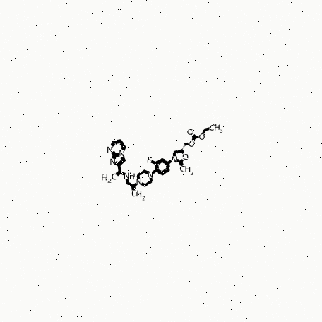 C=C(NCC(=C)N1CCN(c2ccc(N3C[C@H](COC(=O)OCC)OC3=C)cc2F)CC1)c1cn2cccnc2n1